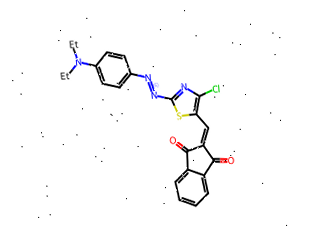 [CH2]CN(CC)c1ccc(/N=N/c2nc(Cl)c(C=C3C(=O)c4ccccc4C3=O)s2)cc1